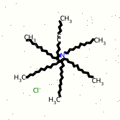 CCCCCCCCCCCCc1c(CCCCCCCCCCCC)c(CCCCCCCCCCCC)[n+](CCCCCCCCCCCC)c(CCCCCCCCCCCC)c1CCCCCCCCCCCC.[Cl-]